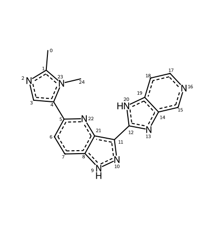 Cc1ncc(-c2ccc3[nH]nc(-c4nc5cnccc5[nH]4)c3n2)n1C